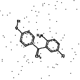 C=C(c1ccc(OCC)cc1)c1cc(Cl)ccc1N